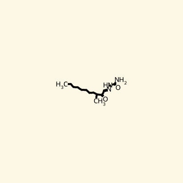 CCCCCCCCC(C)C(=O)/C=N/NC(N)=O